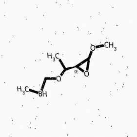 CBCOC(C)[C@@H]1OC1OC